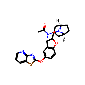 CC(=O)N[C@H]1C[C@H]2CC[C@@H](C1)N2CC1Cc2cc(Oc3nc4ncccc4s3)ccc2O1